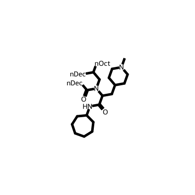 CCCCCCCCCCC(=O)N(CC(CCCCCCCC)CCCCCCCCCC)C(CC1CCN(C)CC1)C(=O)NC1CCCCCC1